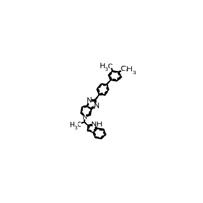 Cc1ccc(-c2ccc(-c3nc4ccn(C(C)c5cc6ccccc6[nH]5)cc-4n3)cc2)cc1C